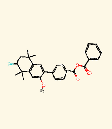 CCOc1cc2c(cc1-c1ccc(C(=O)OC(=O)c3ccccc3)cc1)C(C)(C)CC(F)C2(C)C